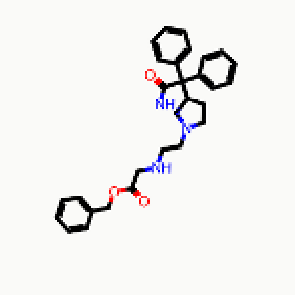 NC(=O)C(c1ccccc1)(c1ccccc1)C1CCN(CCNCC(=O)OCc2ccccc2)C1